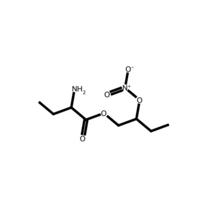 CCC(COC(=O)C(N)CC)O[N+](=O)[O-]